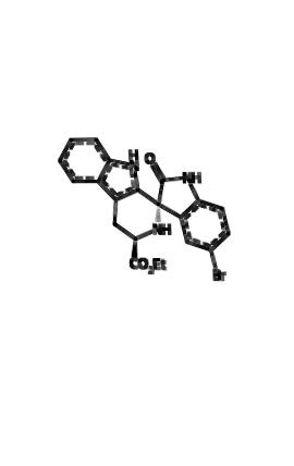 CCOC(=O)[C@H]1Cc2c([nH]c3ccccc23)[C@@]2(N1)C(=O)Nc1ccc(Br)cc12